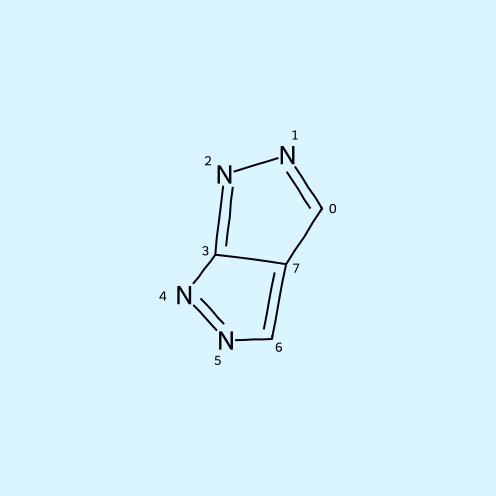 C1=NN=C2N=NC=C12